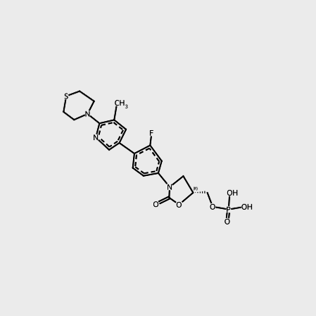 Cc1cc(-c2ccc(N3C[C@H](COP(=O)(O)O)OC3=O)cc2F)cnc1N1CCSCC1